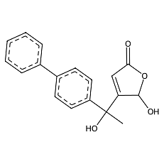 CC(O)(C1=CC(=O)OC1O)c1ccc(-c2ccccc2)cc1